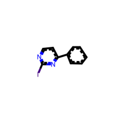 Ic1nccc(-c2ccccc2)n1